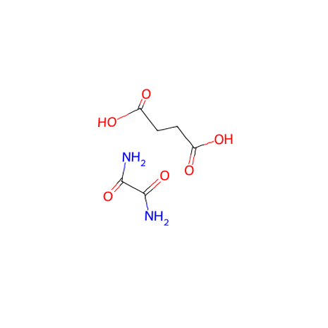 NC(=O)C(N)=O.O=C(O)CCC(=O)O